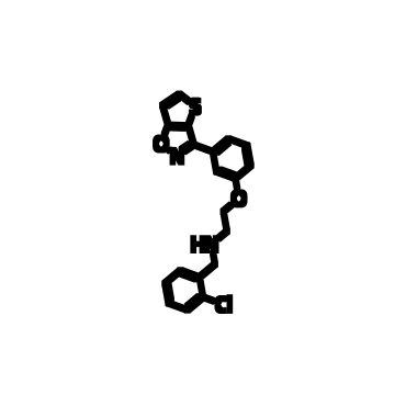 Clc1ccccc1CNCCOc1cccc(-c2noc3ccsc23)c1